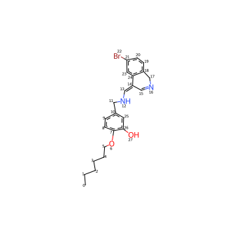 CCCCCCOc1ccc(CNC=C2C=NCc3ccc(Br)cc32)cc1O